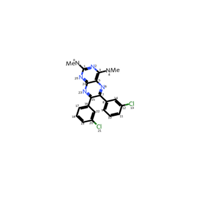 CNc1nc(NC)c2nc(-c3cccc(Cl)c3)c(-c3cccc(Cl)c3)nc2n1